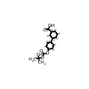 CC(C)(C)OC(=O)Oc1ccc(-c2cccc(C(=O)O)c2)cc1